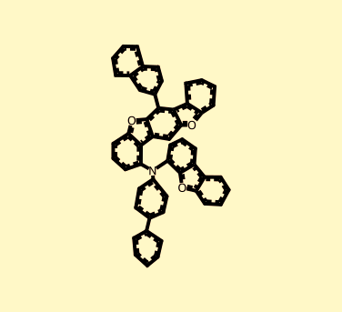 c1ccc(-c2ccc(N(c3cccc4c3oc3ccccc34)c3cccc4oc5c(-c6ccc7ccccc7c6)c6c(cc5c34)oc3ccccc36)cc2)cc1